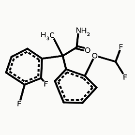 CC(C(N)=O)(c1ccccc1OC(F)F)c1cccc(F)c1F